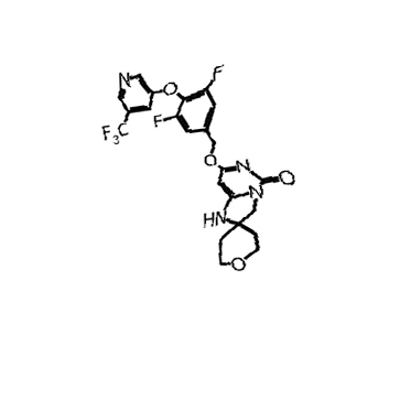 O=c1nc(OCc2cc(F)c(Oc3cncc(C(F)(F)F)c3)c(F)c2)cc2n1CC1(CCOCC1)N2